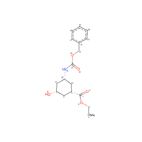 COCOC(=O)[C@@H]1C[C@H](O)C[C@H](NC(=O)OCc2ccccc2)C1